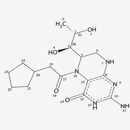 C[C@H](O)[C@H](O)C1CNc2nc(N)[nH]c(=O)c2N1C(=O)CC1CCCC1